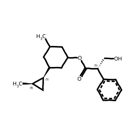 CC1CC(OC(=O)[C@H](CO)c2ccccc2)CC([C@H]2C[C@H]2C)C1